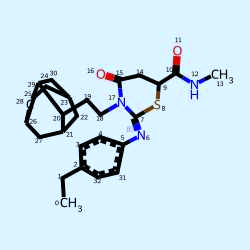 CCc1ccc(/N=C2/SC(C(=O)NC)CC(=O)N2CCC2C3CC4CCC(C3)CC2C4)cc1